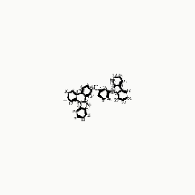 c1cc(Oc2ccc3c4ccccc4n4c5ccccc5nc4c3c2)cc(-n2c3ccccc3c3cccnc32)c1